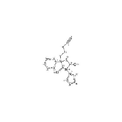 C#CCCCC1(c2ccccc2)SC(=O)N(n2cccc2)C1=O